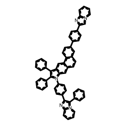 c1ccc(-c2c(-c3ccccc3)n(-c3ccc(-c4nc5ccccn5c4-c4ccccc4)cc3)c3cc4ccc5cc(-c6ccc(-c7cn8ccccc8n7)cc6)ccc5c4cc23)cc1